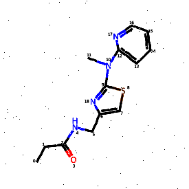 CCC(=O)NCc1csc(N(C)c2ccccn2)n1